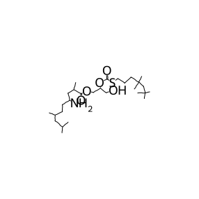 CC(C)CC(C)CCC(N)CC(C)C(=O)OCC(CO)OC(=O)SCCCC(C)(C)CC(C)(C)C